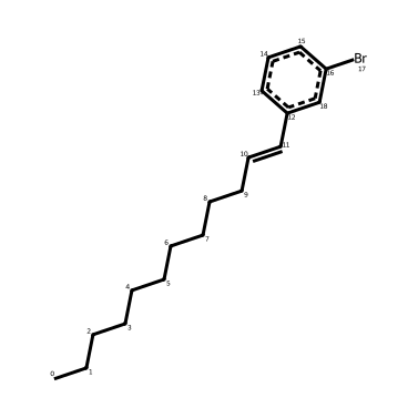 CCCCCCCCCCC=Cc1[c]ccc(Br)c1